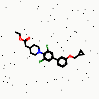 CCOC(=O)CC1CCN(c2c(F)cc(-c3cccc(OCC4CC4)c3)cc2F)CC1